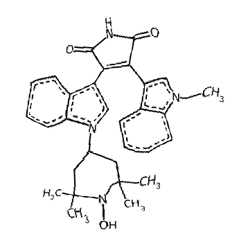 Cn1cc(C2=C(c3cn(C4CC(C)(C)N(O)C(C)(C)C4)c4ccccc34)C(=O)NC2=O)c2ccccc21